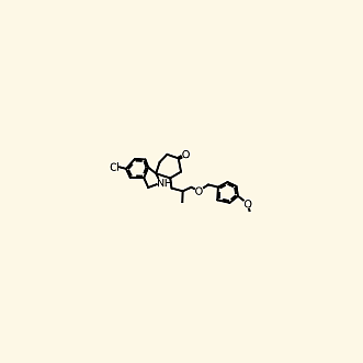 COc1ccc(COCC(C)CC2CC(=O)CCC23NCc2cc(Cl)ccc23)cc1